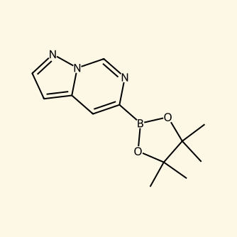 CC1(C)OB(c2cc3ccnn3cn2)OC1(C)C